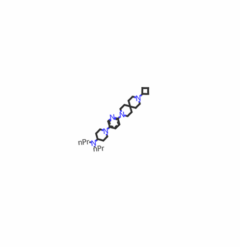 CCCN(CCC)C1CCN(c2ccc(N3CCC4(CC3)CCN(C3CCC3)CC4)nc2)CC1